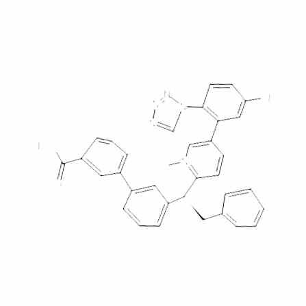 CC(=O)c1cccc(-c2cccc([C@H](Cc3ccccc3)c3ccc(-c4cc(Cl)ccc4-n4cnnn4)c[n+]3[O-])c2)c1